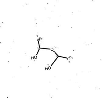 CCCC(O)OC(O)CCC